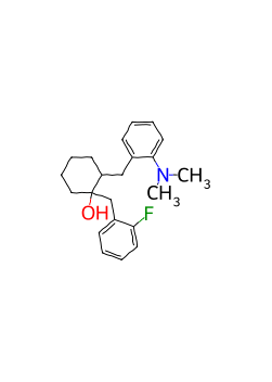 CN(C)c1ccccc1CC1CCCCC1(O)Cc1ccccc1F